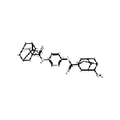 CC1C2CC3CC1CC(C(=O)Oc1ccc(OC(=O)C45CC6CC(C4)C(C)C(C6)C5)cc1)(C3)C2